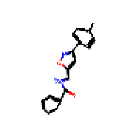 Cc1ccc(-c2cc(CNC(=O)c3ccccc3)on2)cc1